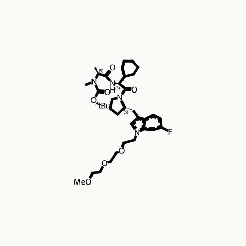 COCCOCCOCCn1cc(C[C@@H]2CCCN2C(=O)[C@@H](NC(=O)[C@H](C)N(C)C(=O)OC(C)(C)C)C2CCCCC2)c2ccc(F)cc21